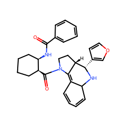 O=C(N[C@@H]1CCCC[C@@H]1C(=O)N1CC[C@H]2C1=C1C=CC=CC1N[C@H]2c1ccoc1)c1ccccc1